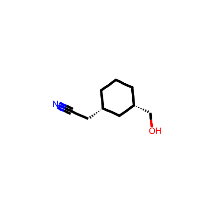 N#CC[C@@H]1CCC[C@H](CO)C1